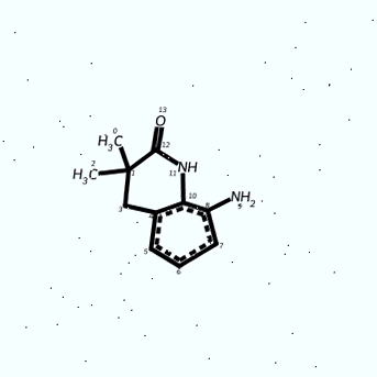 CC1(C)Cc2cccc(N)c2NC1=O